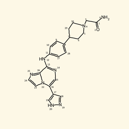 NC(=O)CN1CCC(c2ccc(Nc3ncc(-c4cn[nH]c4)n4ccnc34)cc2)CC1